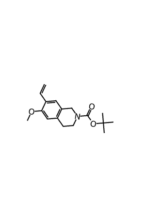 C=Cc1cc2c(cc1OC)CCN(C(=O)OC(C)(C)C)C2